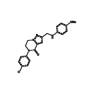 COc1ccc(NCc2cc3n(n2)CCN(c2ccc(Cl)cc2)C3=O)cc1